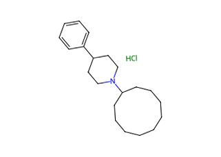 Cl.c1ccc(C2CCN(C3CCCCCCCCC3)CC2)cc1